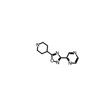 c1cnc(-c2noc(C3CC[N]CC3)n2)cn1